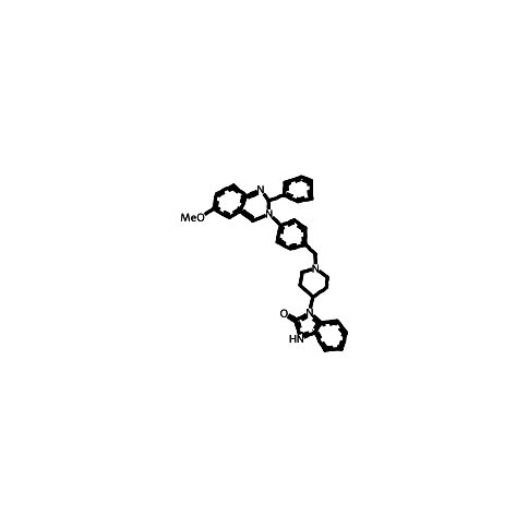 COc1ccc2c(c1)=CN(c1ccc(CN3CCC(n4c(=O)[nH]c5ccccc54)CC3)cc1)C(c1ccccc1)N=2